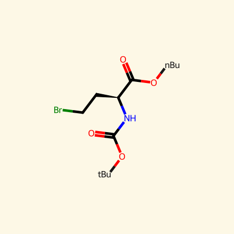 CCCCOC(=O)[C@H](CCBr)NC(=O)OC(C)(C)C